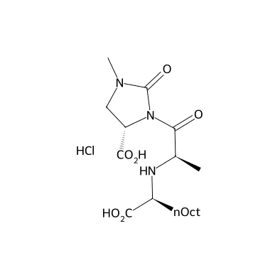 CCCCCCCC[C@H](N[C@H](C)C(=O)N1C(=O)N(C)C[C@H]1C(=O)O)C(=O)O.Cl